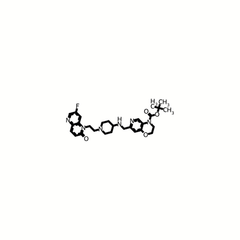 CC(C)(C)OC(=O)N1CCOc2cc(CNC3CCN(CCn4c(=O)ccc5ncc(F)cc54)CC3)ncc21